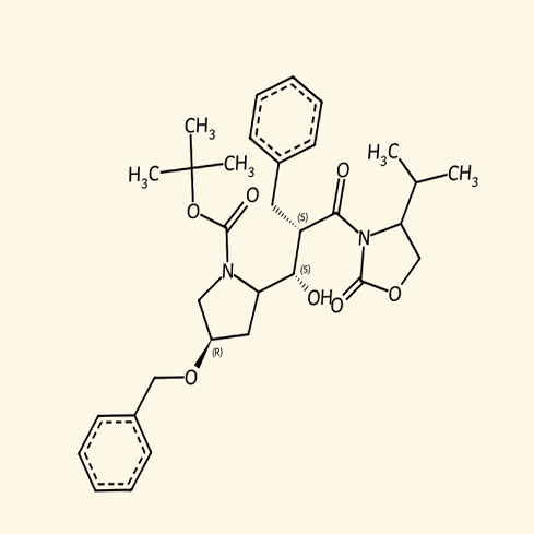 CC(C)C1COC(=O)N1C(=O)[C@@H](Cc1ccccc1)[C@H](O)C1C[C@@H](OCc2ccccc2)CN1C(=O)OC(C)(C)C